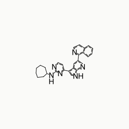 c1ccc2c(-c3cnc4[nH]cc(-c5ccnc(NC6CCCCCC6)n5)c4c3)nccc2c1